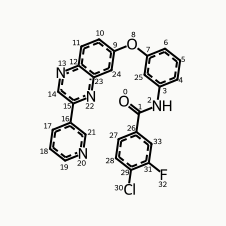 O=C(Nc1cccc(Oc2ccc3ncc(-c4cccnc4)nc3c2)c1)c1ccc(Cl)c(F)c1